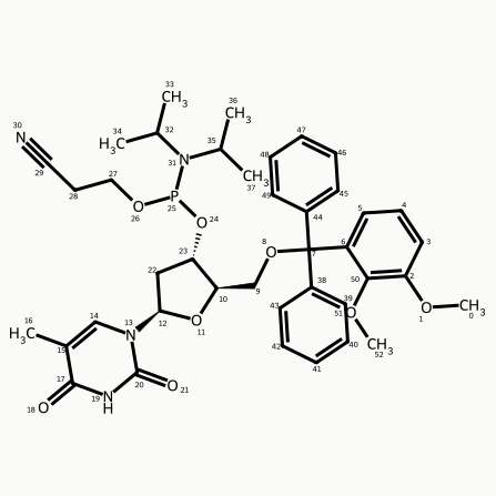 COc1cccc(C(OC[C@H]2O[C@@H](n3cc(C)c(=O)[nH]c3=O)C[C@@H]2OP(OCCC#N)N(C(C)C)C(C)C)(c2ccccc2)c2ccccc2)c1OC